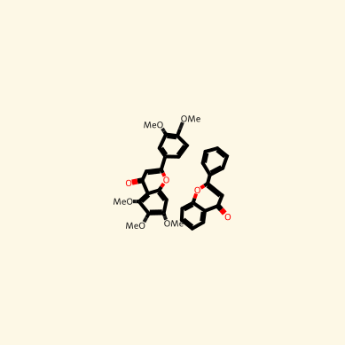 COc1ccc(-c2cc(=O)c3c(OC)c(OC)c(OC)cc3o2)cc1OC.O=c1cc(-c2ccccc2)oc2ccccc12